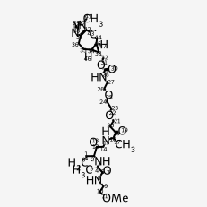 C=CC(N[C@@H](C)C(=O)NCCOC)C(=O)CNC(C)C(=O)CCOCCOCCNC(=O)OC[C@@H]1[C@@H]2CCc3nnn(C)c3CC[C@@H]21